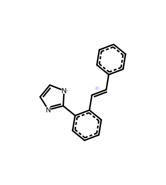 C1=CN=C(c2ccccc2/C=C/c2ccccc2)[N]1